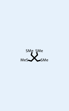 CSCC(CSC)(CSC)CSC